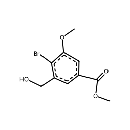 COC(=O)c1cc(CO)c(Br)c(OC)c1